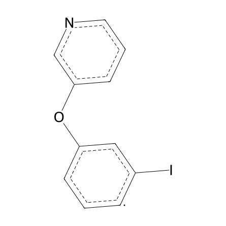 Ic1[c]ccc(Oc2cccnc2)c1